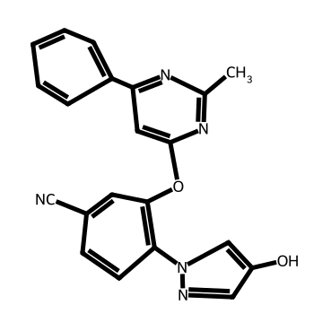 Cc1nc(Oc2cc(C#N)ccc2-n2cc(O)cn2)cc(-c2ccccc2)n1